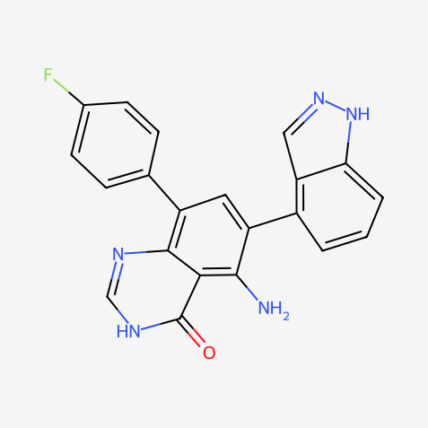 Nc1c(-c2cccc3[nH]ncc23)cc(-c2ccc(F)cc2)c2nc[nH]c(=O)c12